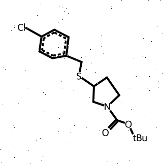 CC(C)(C)OC(=O)N1CCC(SCc2ccc(Cl)cc2)C1